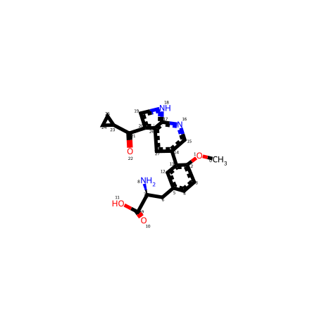 COc1ccc(C[C@H](N)C(=O)O)cc1-c1cnc2[nH]cc(C(=O)C3CC3)c2c1